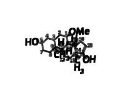 COC1CC2CC(O)CC[C@]2(C)[C@@H]2CC[C@]3(C)C(O)=CC[C@H]3[C@H]12